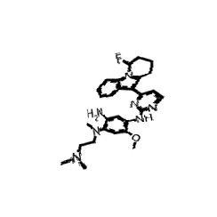 COc1cc(N(C)CCN(C)C)c(N)cc1Nc1nccc(-c2c3n(c4ccccc24)C(F)CCC3)n1